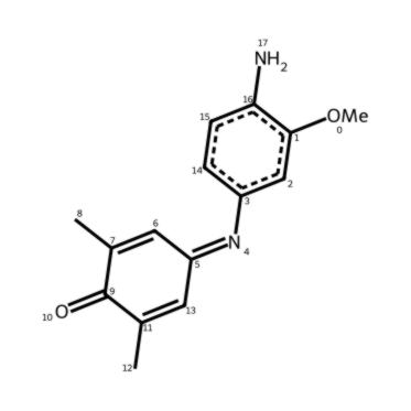 COc1cc(N=C2C=C(C)C(=O)C(C)=C2)ccc1N